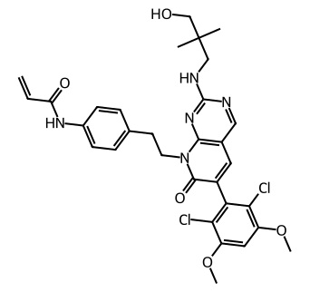 C=CC(=O)Nc1ccc(CCn2c(=O)c(-c3c(Cl)c(OC)cc(OC)c3Cl)cc3cnc(NCC(C)(C)CO)nc32)cc1